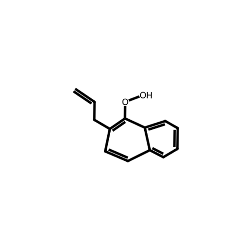 C=CCc1ccc2ccccc2c1OO